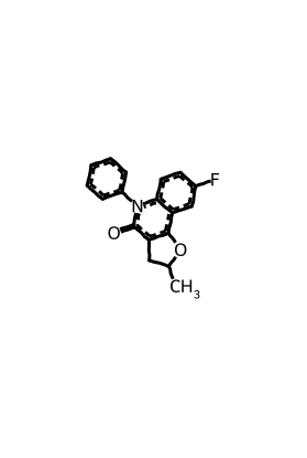 CC1Cc2c(c3cc(F)ccc3n(-c3ccccc3)c2=O)O1